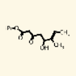 CC=C(C)C(O)CC(=O)CC(=O)OC(C)C